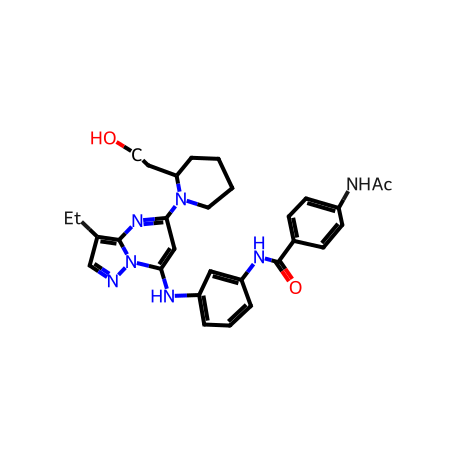 CCc1cnn2c(Nc3cccc(NC(=O)c4ccc(NC(C)=O)cc4)c3)cc(N3CCCCC3CCO)nc12